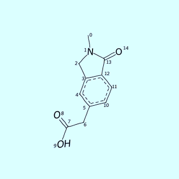 CN1Cc2cc(CC(=O)O)ccc2C1=O